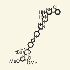 COC(=O)[C@@H]1C[C@@H](OC)CN1C(=O)[C@@H](NC(=O)C1CCC2(CC1)CC(N1CCC(c3cnc(N4CCN5c6cc(-c7ccccc7O)nnc6NC[C@H]5C4)nc3)CC1)C2)C(C)(C)C